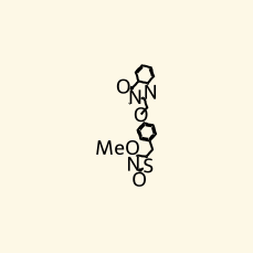 COC1=NC(=O)SC1Cc1ccc(OCC2=NC3C=CC=CC3C(=O)N2C)cc1